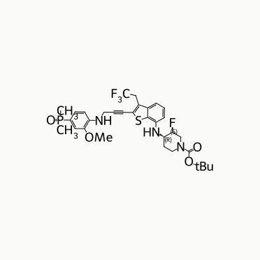 COc1cc(P(C)(C)=O)ccc1NCC#Cc1sc2c(N[C@@H]3CCN(C(=O)OC(C)(C)C)C[C@@H]3F)cccc2c1CC(F)(F)F